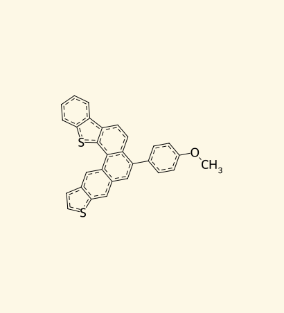 COc1ccc(-c2cc3cc4sccc4cc3c3c2ccc2c4ccccc4sc23)cc1